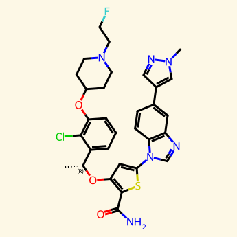 C[C@@H](Oc1cc(-n2cnc3cc(-c4cnn(C)c4)ccc32)sc1C(N)=O)c1cccc(OC2CCN(CCF)CC2)c1Cl